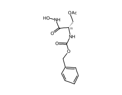 CC(=O)OC[C@H](NC(=O)OCc1ccccc1)C(=O)NO